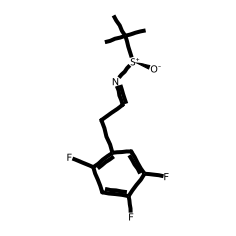 CC(C)(C)[S@@+]([O-])N=CCc1cc(F)c(F)cc1F